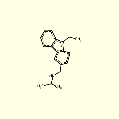 CCn1c2ccccc2c2cc(CNC(C)C)ccc21